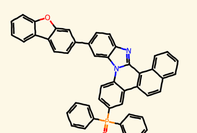 O=P(c1ccccc1)(c1ccccc1)c1ccc2c(c1)c1ccc3ccccc3c1c1nc3ccc(-c4ccc5c(c4)oc4ccccc45)cc3n21